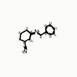 N#CC1CCCC(=NCc2ccccc2)C1